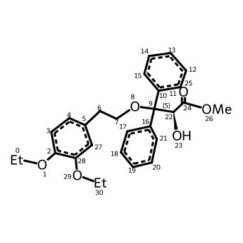 CCOc1ccc(CCOC(c2ccccc2)(c2ccccc2)[C@H](O)C(=O)OC)cc1OCC